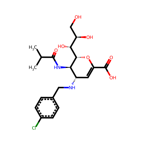 CC(C)C(=O)N[C@H]1[C@H]([C@H](O)[C@H](O)CO)OC(C(=O)O)=C[C@@H]1NCc1ccc(Cl)cc1